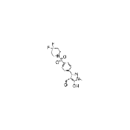 Cn1nc(-c2ccc(S(=O)(=O)N3CCC(F)(F)CC3)cc2)c(C=O)c1O